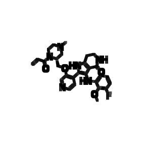 C=CC(=O)N1CCN(C)C[C@H]1COc1cnccc1-c1[nH]c2c(c1Nc1cccc(F)c1OC)C(=O)NCC2